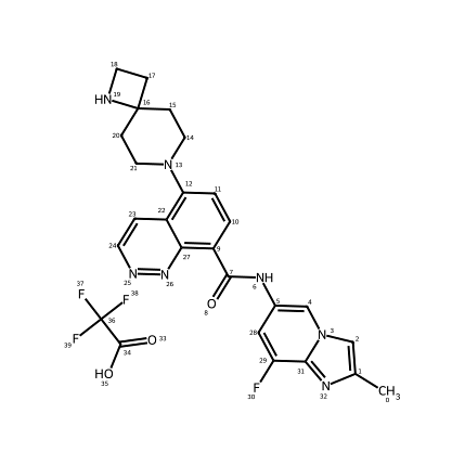 Cc1cn2cc(NC(=O)c3ccc(N4CCC5(CCN5)CC4)c4ccnnc34)cc(F)c2n1.O=C(O)C(F)(F)F